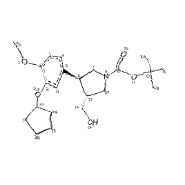 COc1ccc([C@H]2CN(C(=O)OC(C)(C)C)C[C@@H]2CO)cc1OC1CCCC1